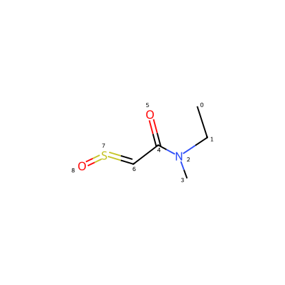 CCN(C)C(=O)C=S=O